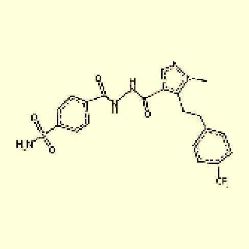 Cn1ncc(C(=O)NNC(=O)c2ccc(S(N)(=O)=O)cc2)c1CCc1ccc(C(F)(F)F)cc1